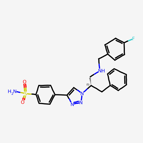 NS(=O)(=O)c1ccc(-c2cn([C@H](CNCc3ccc(F)cc3)Cc3ccccc3)nn2)cc1